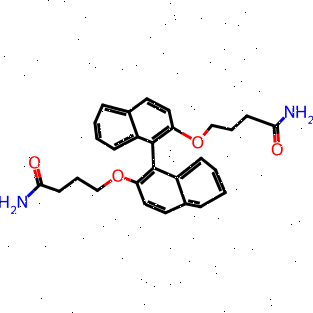 NC(=O)CCCOc1ccc2ccccc2c1-c1c(OCCCC(N)=O)ccc2ccccc12